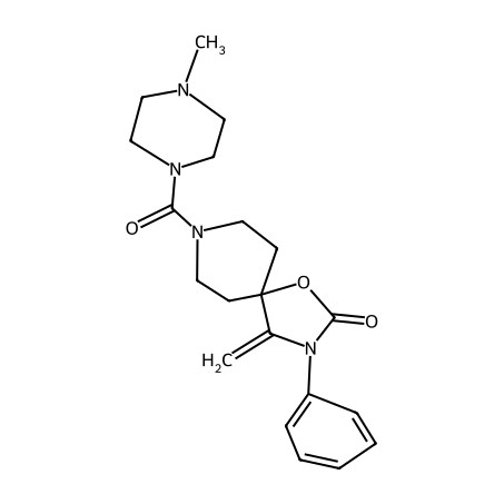 C=C1N(c2ccccc2)C(=O)OC12CCN(C(=O)N1CCN(C)CC1)CC2